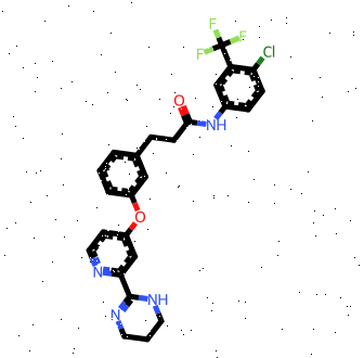 O=C(CCc1cccc(Oc2ccnc(C3=NCCCN3)c2)c1)Nc1ccc(Cl)c(C(F)(F)F)c1